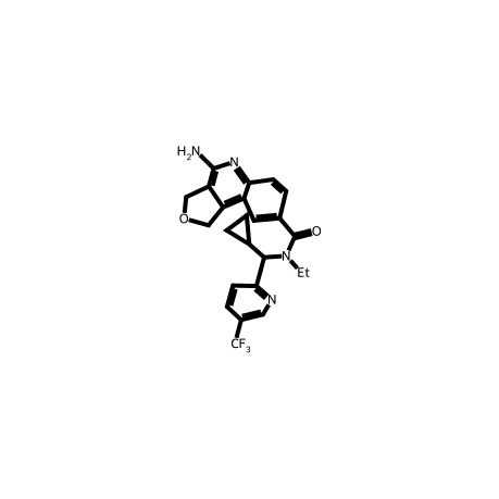 CCN(C(=O)c1ccc2nc(N)c3c(c2c1)COC3)C(c1ccc(C(F)(F)F)cn1)C1CC1